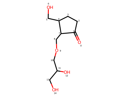 O=C1CCC(CO)C1COCC(O)CO